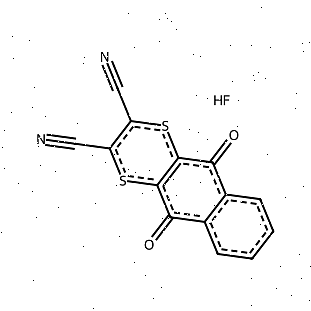 F.N#Cc1sc2c(=O)c3ccccc3c(=O)c=2sc1C#N